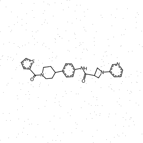 O=C(Nc1ccc(C2CCN(C(=O)c3cccs3)CC2)cc1)C1CN(c2cccnc2)C1